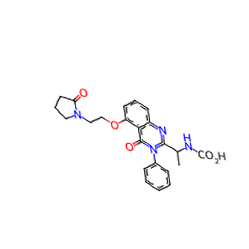 CC(NC(=O)O)c1nc2cccc(OCCN3CCCC3=O)c2c(=O)n1-c1ccccc1